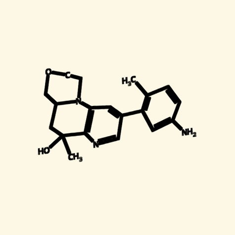 Cc1ccc(N)cc1-c1cnc2c(c1)N1CCOCC1CC2(C)O